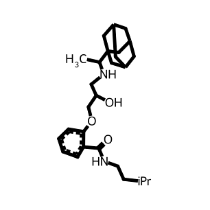 CC(C)CCNC(=O)c1ccccc1OCC(O)CNC(C)C12CC3CC(CC(C3)C1)C2